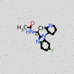 CC(=O)N[C@@H](C)c1nc2ccc(F)cc2n1-c1cccnc1